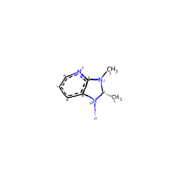 C[C@H]1N(C)c2ncccc2N1I